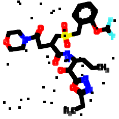 CCCC(NC(=O)C(CC(=O)N1CCOCC1)CS(=O)(=O)Cc1ccccc1OC(F)F)C(=O)c1nnc(CC)o1